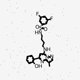 Cc1cnn2c(NCCCCNS(=O)(=O)c3cc(F)cc(F)c3)cc(-c3ccccc3O)nc12